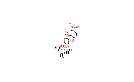 CC(C)N(C(C)C)S(=O)(=O)c1ccc2c(=O)c3cc(C(=O)O)ccc3oc2c1